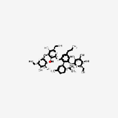 C=C(C)[C@@H]1CCC(C)=C[C@H]1c1c(O[C@@H]2O[C@H](CO)[C@@H](O)[C@H](O)[C@H]2O)cc(CCC)cc1O[C@@H]1O[C@H](CO)[C@@H](O)[C@H](O[C@@H]2O[C@H](CO)[C@@H](O)[C@H](O)[C@H]2O)[C@H]1O